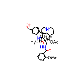 CC[C@]12C=CCN3CC[C@@]4(c5ccc(CO)cc5N(C)[C@H]4C(O)(CNC(=O)c4ccccc4OC)[C@@H]1OC(C)=O)[C@@H]32